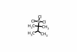 CC(C)C(C)(C)[Si](Cl)(Cl)Cl